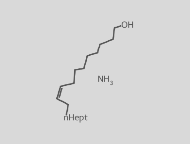 CCCCCCCC/C=C\CCCCCCCCO.N